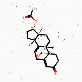 CC(C)(C)C(=O)O[C@H]1CC[C@H]2C3=CCC4=CC(=O)CC[C@]4(CO)[C@H]3CC[C@]12C